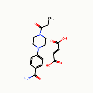 CCC(=O)N1CCN(c2ccc(C(N)=O)cc2)CC1.O=C(O)/C=C/C(=O)O